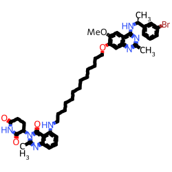 COc1cc2c(N[C@H](C)c3cccc(Br)c3)nc(C)nc2cc1OCCCCCCCCCCCCCNc1cccc2nc(C)n(C3CCC(=O)NC3=O)c(=O)c12